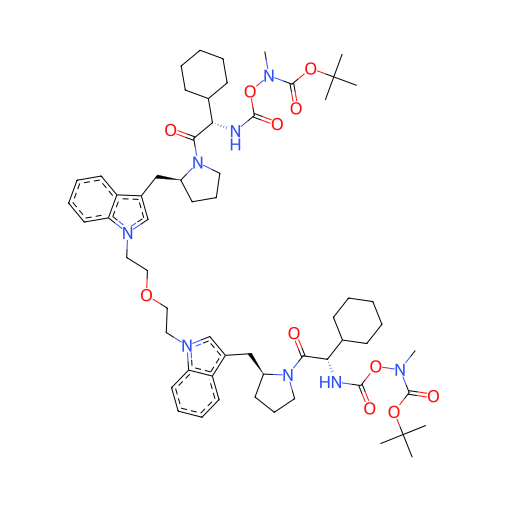 CN(OC(=O)N[C@H](C(=O)N1CCC[C@H]1Cc1cn(CCOCCn2cc(C[C@@H]3CCCN3C(=O)[C@@H](NC(=O)ON(C)C(=O)OC(C)(C)C)C3CCCCC3)c3ccccc32)c2ccccc12)C1CCCCC1)C(=O)OC(C)(C)C